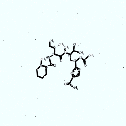 CC[C@H](C)[C@H](NC(=O)[C@H]1CCCCN1C)C(=O)N(C)[C@H](C[C@@H](OC(C)=O)c1nc(C(N)=O)cs1)C(C)C